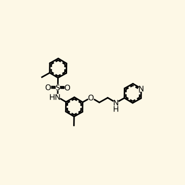 Cc1cc(NS(=O)(=O)c2ccccc2C)cc(OCCNc2ccncc2)c1